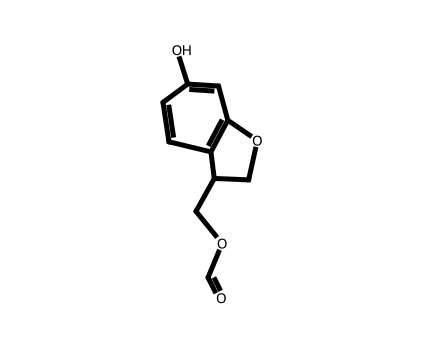 O=COCC1COc2cc(O)ccc21